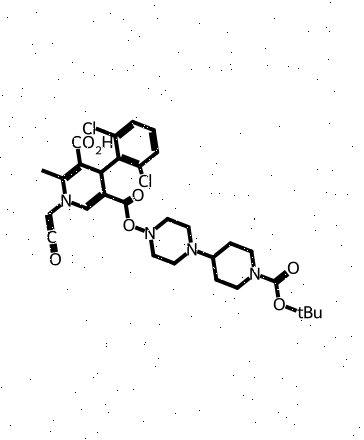 CC1=C(C(=O)O)C(c2c(Cl)cccc2Cl)C(C(=O)ON2CCN(C3CCN(C(=O)OC(C)(C)C)CC3)CC2)=CN1C=C=O